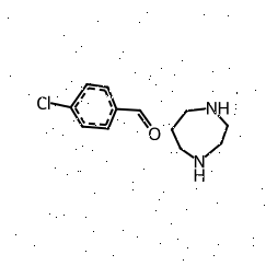 C1CNCCNC1.O=Cc1ccc(Cl)cc1